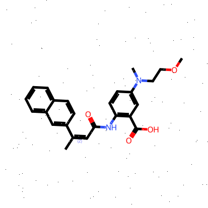 COCCN(C)c1ccc(NC(=O)/C=C(/C)c2ccc3ccccc3c2)c(C(=O)O)c1